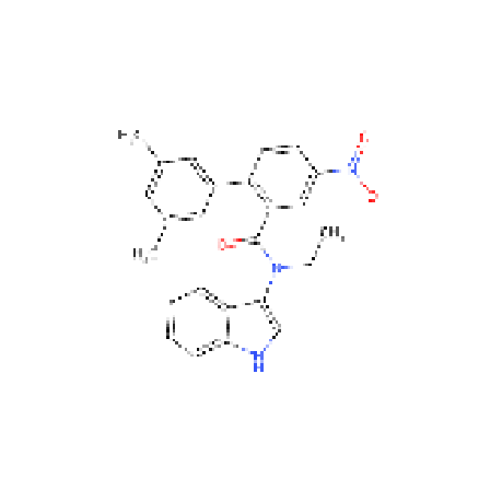 CCN(C(=O)c1cc([N+](=O)[O-])ccc1-c1cc(C)cc(C)c1)c1c[nH]c2ccccc12